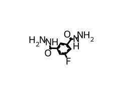 NNC(=O)c1cc(F)cc(C(=O)NN)c1